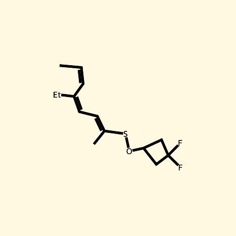 C\C=C/C(=C\C=C(/C)SOC1CC(F)(F)C1)CC